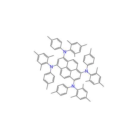 Cc1ccc(N(c2c(C)cc(C)cc2C)c2cc(N(c3ccc(C)cc3)c3c(C)cc(C)cc3C)c3ccc4c(N(c5ccc(C)cc5)c5c(C)cc(C)cc5C)cc(N(c5ccc(C)cc5)c5c(C)cc(C)cc5C)c5ccc2c3c54)cc1